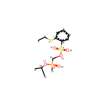 CCSc1ccccc1S(=O)(=O)OCP(C)(=O)OC(C)C